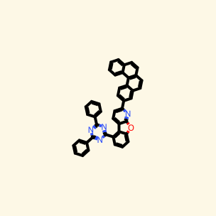 c1ccc(-c2nc(-c3ccccc3)nc(-c3cccc4oc5nc(-c6ccc7c(ccc8ccc9ccccc9c87)c6)ccc5c34)n2)cc1